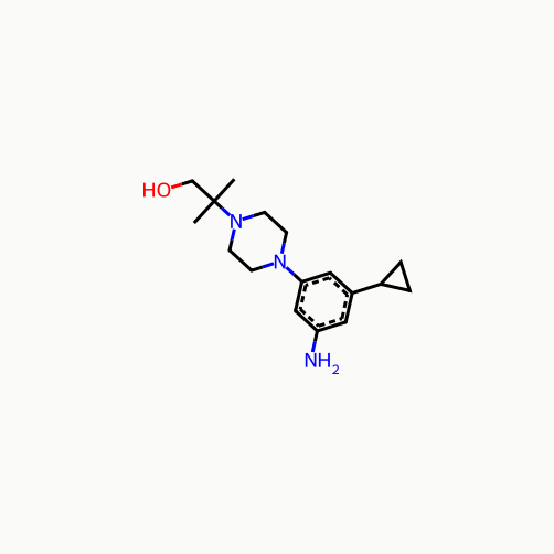 CC(C)(CO)N1CCN(c2cc(N)cc(C3CC3)c2)CC1